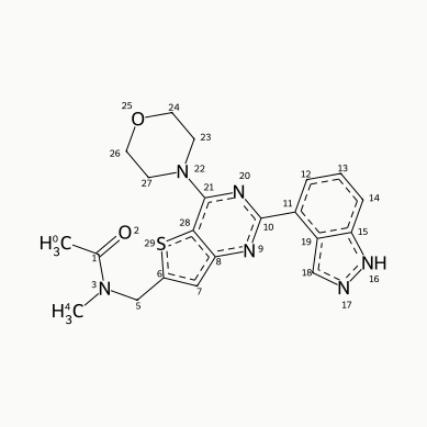 CC(=O)N(C)Cc1cc2nc(-c3cccc4[nH]ncc34)nc(N3CCOCC3)c2s1